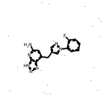 Nc1cc(Cc2cnn(-c3ccccc3F)c2)c2nn[nH]c2n1